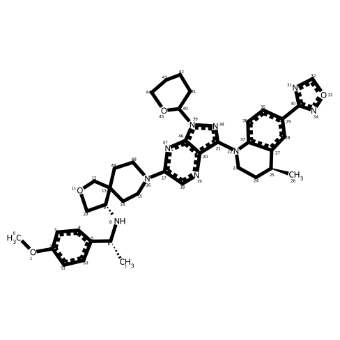 COc1ccc([C@@H](C)N[C@@H]2COCC23CCN(c2cnc4c(N5CC[C@H](C)c6cc(-c7ncon7)ccc65)nn(C5CCCCO5)c4n2)CC3)cc1